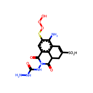 NNC(=O)NN1C(=O)c2cc(SOOO)c(N)c3c2C(CC(S(=O)(=O)O)=C3)C1=O